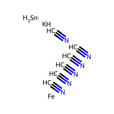 C#N.C#N.C#N.C#N.C#N.C#N.[Fe].[KH].[SnH2]